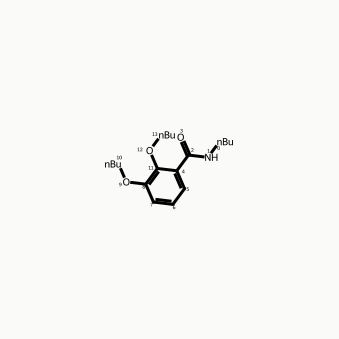 CCCCNC(=O)c1cccc(OCCCC)c1OCCCC